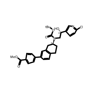 COC(=O)c1ccc(-c2ccc3c(c2)C[C@@H](N(C[C@H](O)c2ccc(Cl)nc2)C(=O)OC(C)(C)C)CC3)cc1